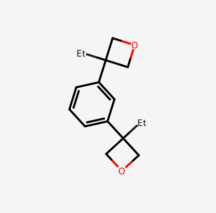 CCC1(c2cccc(C3(CC)COC3)c2)COC1